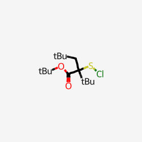 CC(C)(C)CC(SCl)(C(=O)OC(C)(C)C)C(C)(C)C